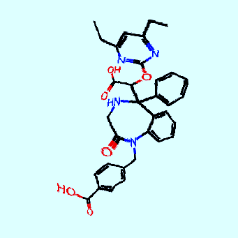 CCc1cc(CC)nc(OC(C(=O)O)C2(c3ccccc3)NCC(=O)N(Cc3ccc(C(=O)O)cc3)c3ccccc32)n1